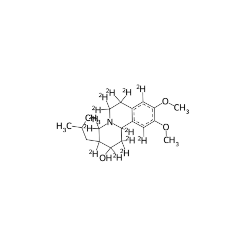 [2H]c1c(OC)c(OC)c([2H])c2c1C([2H])([2H])C([2H])([2H])N1C([2H])([2H])C([2H])(CC(C)C)C([2H])(O)C([2H])([2H])C21[2H]